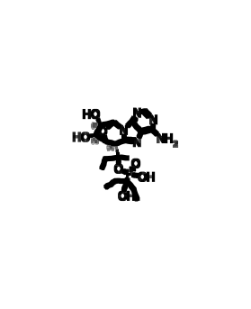 CCC(C)(OP(=O)(O)C(O)(CC)CC)[C@H]1c2nc3c(N)ncnc3n2C2OC1[C@@H](O)[C@H]2O